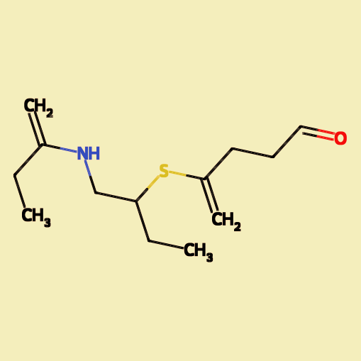 C=C(CC)NCC(CC)SC(=C)CCC=O